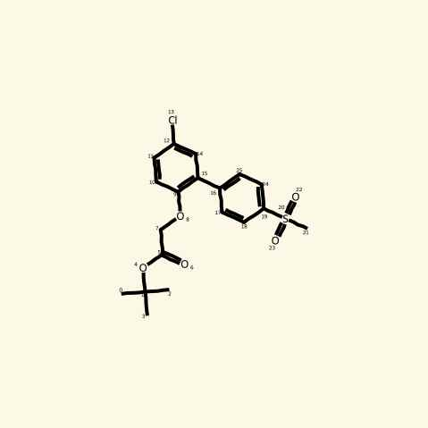 CC(C)(C)OC(=O)COc1ccc(Cl)cc1-c1ccc(S(C)(=O)=O)cc1